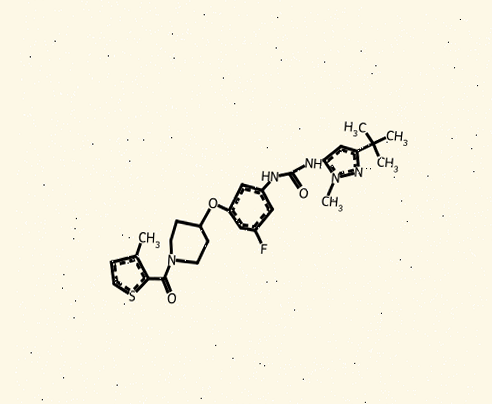 Cc1ccsc1C(=O)N1CCC(Oc2cc(F)cc(NC(=O)Nc3cc(C(C)(C)C)nn3C)c2)CC1